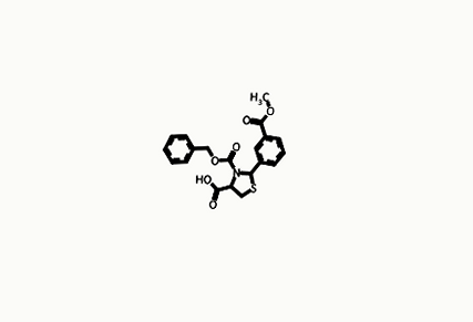 COC(=O)c1cccc(C2SCC(C(=O)O)N2C(=O)OCc2ccccc2)c1